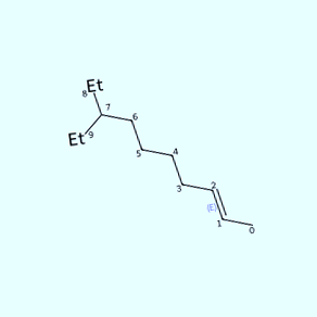 C/C=C/CCCCC(CC)CC